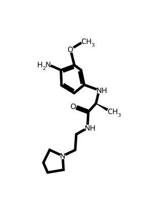 COc1cc(N[C@@H](C)C(=O)NCCN2CCCC2)ccc1N